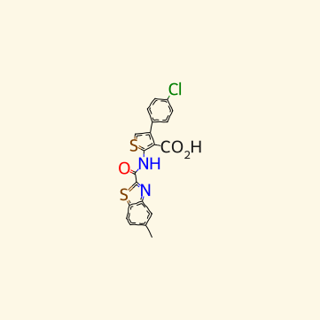 Cc1ccc2sc(C(=O)Nc3scc(-c4ccc(Cl)cc4)c3C(=O)O)nc2c1